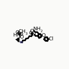 CS(=O)(=O)NC(=O)[C@H]1C[C@H]1/C=C\CCCCCCC(=O)N1Cc2ccc(Oc3cccc(Cl)c3)cc2CC1C(N)=O